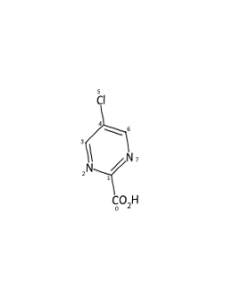 O=C(O)c1ncc(Cl)cn1